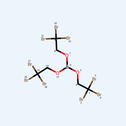 BrC(Br)(Br)COB(OCC(Br)(Br)Br)OCC(Br)(Br)Br